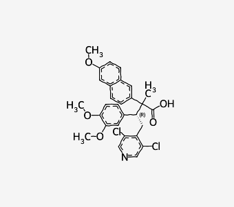 COc1ccc2cc(C(C)(C(=O)O)[C@H](Cc3c(Cl)cncc3Cl)c3ccc(OC)c(OC)c3)ccc2c1